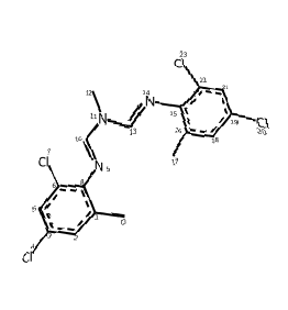 Cc1cc(Cl)cc(Cl)c1N=CN(C)C=Nc1c(C)cc(Cl)cc1Cl